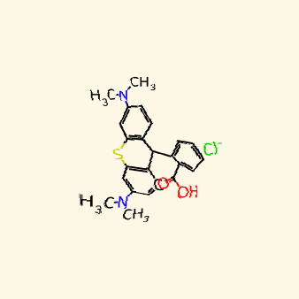 CN(C)C1=CC2=C([C+]=C1)C(c1ccccc1C(=O)O)c1ccc(N(C)C)cc1S2.[Cl-]